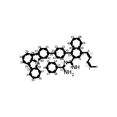 C/C=C\C=C/c1cc(C(=N)/N=C(\N)c2ccccc2)c(-c2ccc(-c3ccc4c5cccc6c7ccccc7n(c4c3)c65)cc2)c2ccccc12